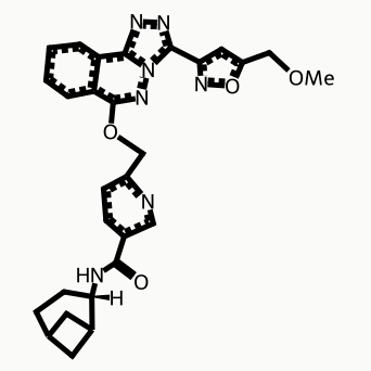 COCc1cc(-c2nnc3c4ccccc4c(OCc4ccc(C(=O)N[C@H]5CCC6CC5C6)cn4)nn23)no1